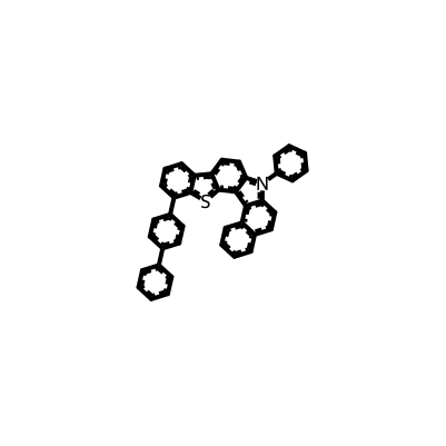 c1ccc(-c2ccc(-c3cccc4c3sc3c4ccc4c3c3c5ccccc5ccc3n4-c3ccccc3)cc2)cc1